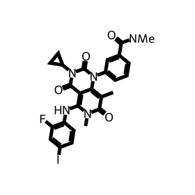 CNC(=O)c1cccc(-n2c(=O)n(C3CC3)c(=O)c3c(Nc4ccc(I)cc4F)n(C)c(=O)c(C)c32)c1